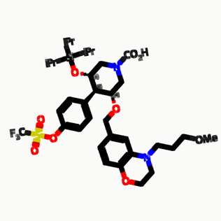 COCCCN1CCOc2ccc(CO[C@H]3CN(C(=O)O)C[C@@H](O[Si](C(C)C)(C(C)C)C(C)C)[C@@H]3c3ccc(OS(=O)(=O)C(F)(F)F)cc3)cc21